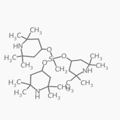 CC1(C)CC(O[Si](C)(OC2CC(C)(C)NC(C)(C)C2)OC2CC(C)(C)NC(C)(C)C2)CC(C)(C)N1